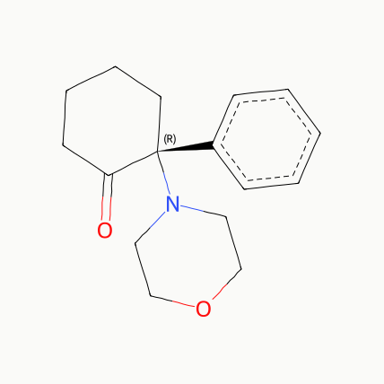 O=C1CCCC[C@]1(c1ccccc1)N1CCOCC1